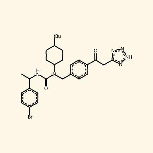 CC(NC(=O)N(Cc1ccc(C(=O)Cc2nn[nH]n2)cc1)C1CCC(C(C)(C)C)CC1)c1ccc(Br)cc1